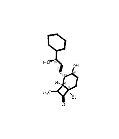 CC[C@@]12CC[C@H](O)[C@@H](/C=C/[C@@H](O)C3CCCCC3)[C@@H]1C(C)C2=O